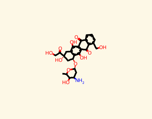 CC1O[C@@H](O[C@H]2C[C@@](O)(C(=O)CO)Cc3c(O)c4c(c(O)c32)C(=O)c2c(CO)cccc2C4=O)CC(N)C1O